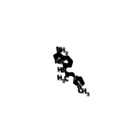 CC(Cn1cc[n+](C)c1)Nc1cccc2c(N)cnn12